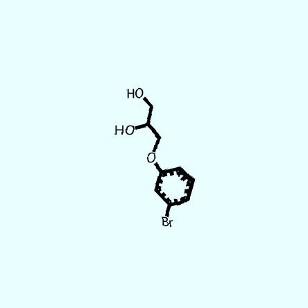 OCC(O)COc1cccc(Br)c1